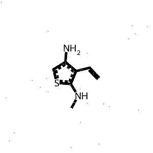 C=Cc1c(N)csc1NC